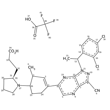 CC1C=C(c2cnc3c(C#N)nn(C(C)c4ccc(Cl)cc4Cl)c3n2)CCC1N1CCC[C@H]1CCC(=O)O.O=C(O)C(F)(F)F